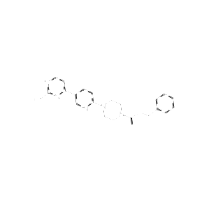 O=C(OCc1ccccc1)N1CCN(c2ccc(-c3ccnc(Cl)n3)cn2)CC1